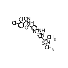 Cc1nc(C)c(-c2csc(Nc3ccc(C(=O)NC(C#N)c4cccc(Cl)c4Cl)cn3)n2)s1